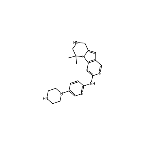 CC1(C)CNCc2cc3cnc(Nc4ccc(N5CCNCC5)cn4)nc3n21